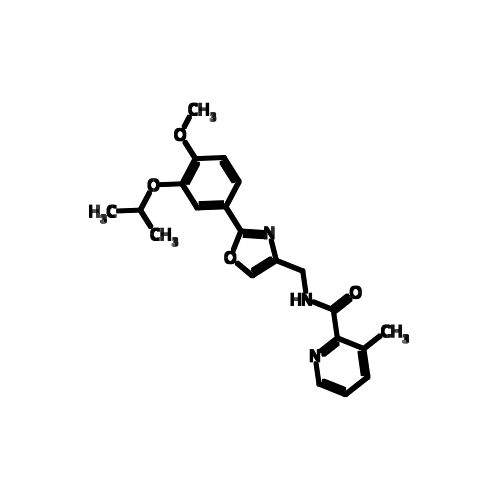 COc1ccc(-c2nc(CNC(=O)c3ncccc3C)co2)cc1OC(C)C